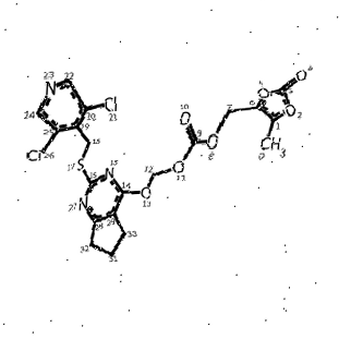 Cc1oc(=O)oc1COC(=O)OCOc1nc(SCc2c(Cl)cncc2Cl)nc2c1CCC2